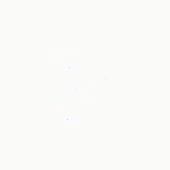 CC(C)(C)OC(=O)N1CC(N(CCC(N)=O)C(=O)OCC(Cl)(Cl)Cl)C1